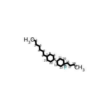 CCCCCCCC1CCC([C@H]2CC[C@](F)(CCCC)CC2)CC1